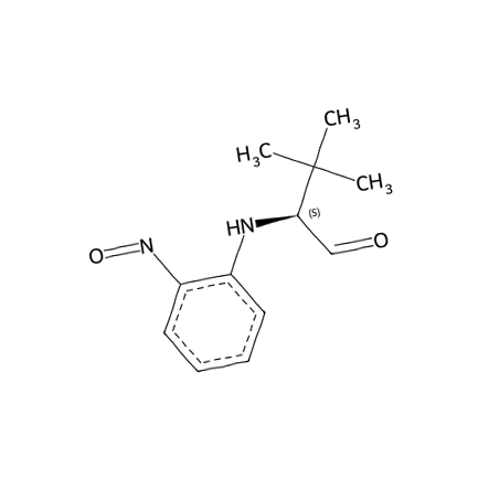 CC(C)(C)[C@@H](C=O)Nc1ccccc1N=O